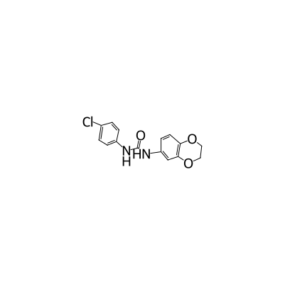 O=C(Nc1ccc(Cl)cc1)Nc1ccc2c(c1)OCCO2